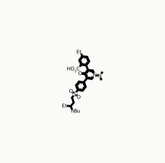 CCCCC(CC)CCS(=O)(=O)c1ccc(-c2cn(N(C)C)cc(-c3ccc(CC)cc3C(=O)O)c2=O)cc1